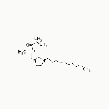 C=C(C)C(=O)OC(C)CN1C=CN(CCCCCCCCCC)C1